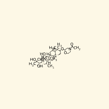 CC(=O)N1CCO[C@@H](O[C@H]2CC[C@]34C[C@]35CC[C@]3(C)[C@@H]6[C@H](O[C@@H]([C@H](O)C(C)(C)O)C[C@H]6C)[C@H](O)[C@@]3(C)[C@@H]5CC[C@H]4C2(C)C)C1